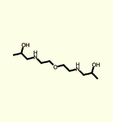 CC(O)CNCCOCCNCC(C)O